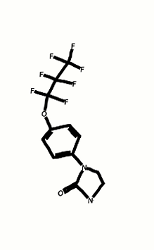 O=C1[N]CCN1c1ccc(OC(F)(F)C(F)(F)C(F)(F)F)cc1